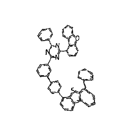 c1ccc(-c2nc(-c3cccc(-c4ccc(-c5cccc6c5sc5c(-c7ccccc7)cccc56)cc4)c3)nc(-c3cccc4oc5ccccc5c34)n2)cc1